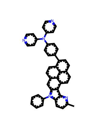 Cc1ccc2c(n1)c1c3ccc4ccc(-c5ccc(N(c6ccncc6)c6ccncc6)cc5)c5ccc(cc1n2-c1ccccc1)c3c45